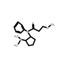 COCCC(=O)N(c1ccccc1)C1CCCC1N(C)C